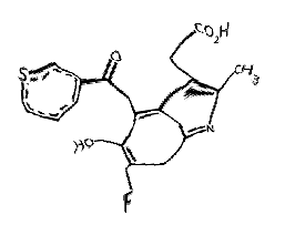 CC1=C(CC(=O)O)C2=C(C(=O)c3ccsc3)C(O)=C(F)CC2=N1